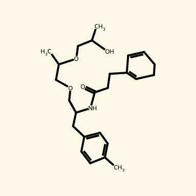 Cc1ccc(CC(COCC(C)OCC(C)O)NC(=O)CCC2=CCCC=C2)cc1